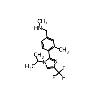 CNCc1ccc(-c2nc(C(F)(F)F)cn2C(C)C)c(C)c1